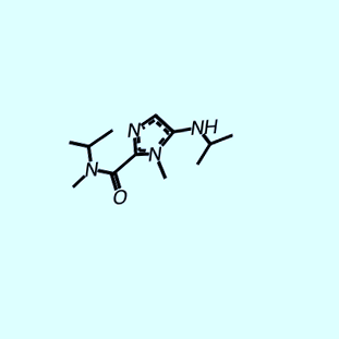 CC(C)Nc1cnc(C(=O)N(C)C(C)C)n1C